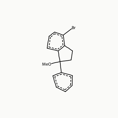 COC1(c2ccccc2)CCc2c(Br)cccc21